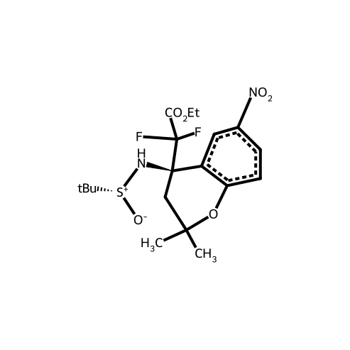 CCOC(=O)C(F)(F)[C@@]1(N[S@+]([O-])C(C)(C)C)CC(C)(C)Oc2ccc([N+](=O)[O-])cc21